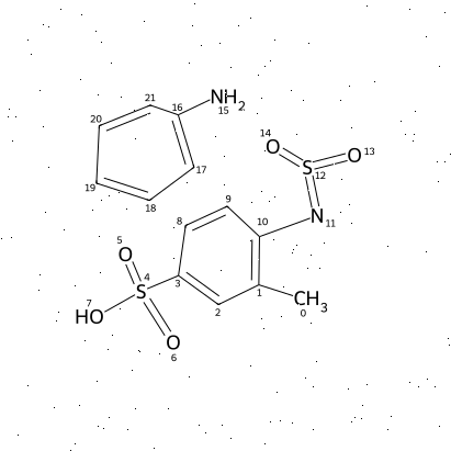 Cc1cc(S(=O)(=O)O)ccc1N=S(=O)=O.Nc1ccccc1